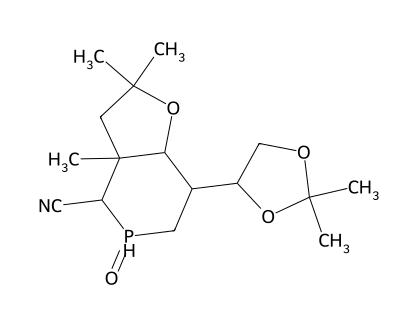 CC1(C)CC2(C)C(O1)C(C1COC(C)(C)O1)C[PH](=O)C2C#N